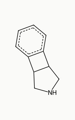 c1ccc2c(c1)C1CNCC21